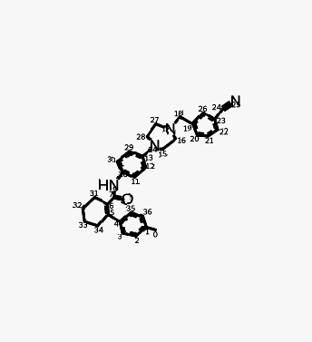 Cc1ccc(C2=C(C(=O)Nc3ccc(N4CCN(Cc5cccc(C#N)c5)CC4)cc3)CCCC2)cc1